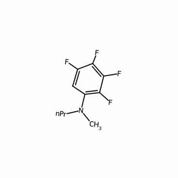 CCCN(C)c1cc(F)c(F)c(F)c1F